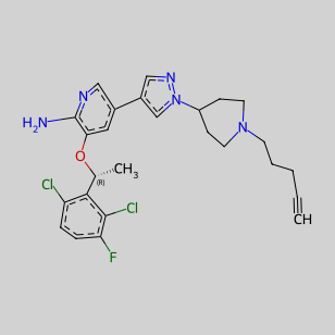 C#CCCCN1CCC(n2cc(-c3cnc(N)c(O[C@H](C)c4c(Cl)ccc(F)c4Cl)c3)cn2)CC1